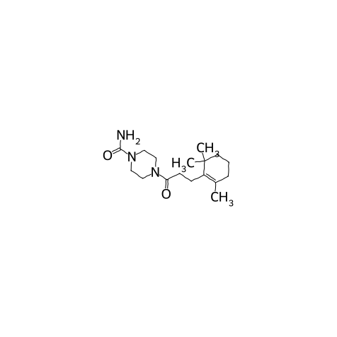 CC1=C(CCC(=O)N2CCN(C(N)=O)CC2)C(C)(C)CCC1